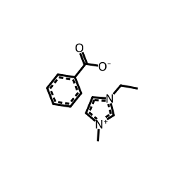 CCn1cc[n+](C)c1.O=C([O-])c1ccccc1